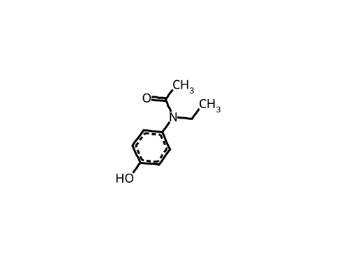 CCN(C(C)=O)c1ccc(O)cc1